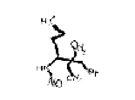 C=CCC(NN=O)C(C)(C)CC(C)C